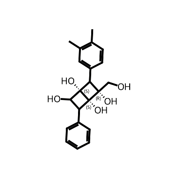 Cc1ccc(C2[C@]3(O)C(O)C(c4ccccc4)[C@]3(O)[C@]2(O)CO)cc1C